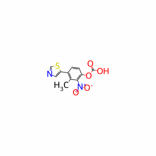 Cc1c(-c2cncs2)ccc(OC(=O)O)c1[N+](=O)[O-]